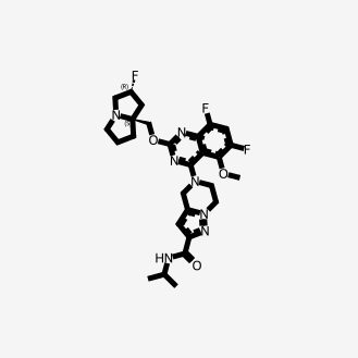 COc1c(F)cc(F)c2nc(OC[C@@]34CCCN3C[C@H](F)C4)nc(N3CCn4nc(C(=O)NC(C)C)cc4C3)c12